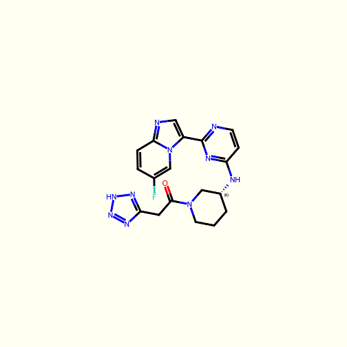 O=C(Cc1nn[nH]n1)N1CCC[C@@H](Nc2ccnc(-c3cnc4ccc(F)cn34)n2)C1